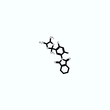 CC1OC(C)(c2cc(N3C(=O)C4=C(CCCC4)C3=O)c(F)cc2F)OC1C